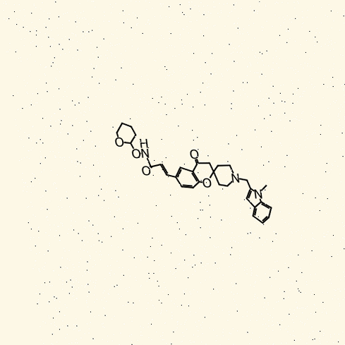 Cn1c(CN2CCC3(CC2)CC(=O)c2cc(C=CC(=O)NOC4CCCCO4)ccc2O3)cc2ccccc21